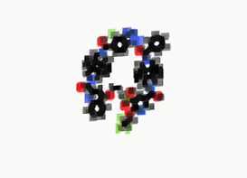 CCOc1cc(C(=O)N2C[C@@H]3[C@H](C2)[C@H]2CN(C(=O)c4ccc5[nH]nnc5c4F)C[C@@H]32)nc2ccccc12.CS(=O)(=O)c1cc(C(=O)N2C[C@@H]3[C@H]4CN(C(=O)c5ccccc5)C[C@H]4[C@@H]3C2)cnc1OCC(F)(F)F